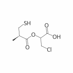 C[C@@H](CS)C(=O)OC(CCl)C(=O)O